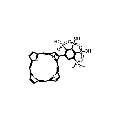 O=S(=O)(O)c1cc(C2=CC3=CC4=NC(=CC5=NC(=CC6=NC(=CC2=N3)C=C6)C=C5)C=C4)c(S(=O)(=O)O)c(S(=O)(=O)O)c1S(=O)(=O)O